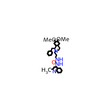 COc1cc2c(cc1OC)C(Cc1ccccc1)N(CCCNC(=O)Nc1cc(C)nc3ccccc13)CC2